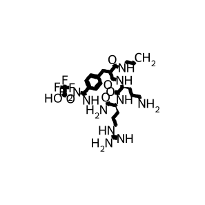 C=CCNC(=O)C(Cc1ccc(C(=N)N)cc1)C(=O)N[C@@H](CCCN)C(=O)N[C@@H](CCCNC(=N)N)C(N)=O.O=C(O)C(F)(F)F